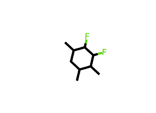 CC1CC(C)C(F)C(F)C1C